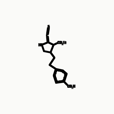 CCOC(=O)C1C(=C=S)NCC1CCc1ccc(C(=O)O)cc1